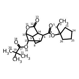 CCC1(OC(=O)C2C3CC4C(OC(=O)C42)C3OC(=O)C(C)(C)C)CCCC1